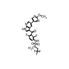 COc1ncc(-c2cnc3[nH]cc(C(=O)c4c(F)ccc(NS(=O)(=O)N(C)CC(F)(F)F)c4F)c3c2)cn1